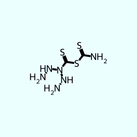 NNN(NN)C(=S)SC(N)=S